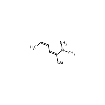 C/C=C\C=C(/N(C)N)C(C)(C)C